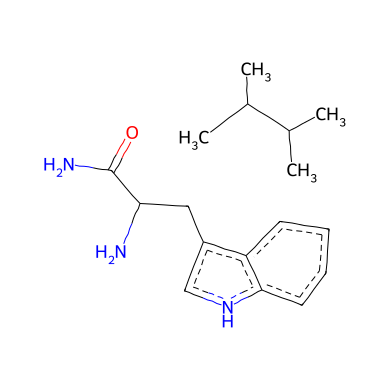 CC(C)C(C)C.NC(=O)C(N)Cc1c[nH]c2ccccc12